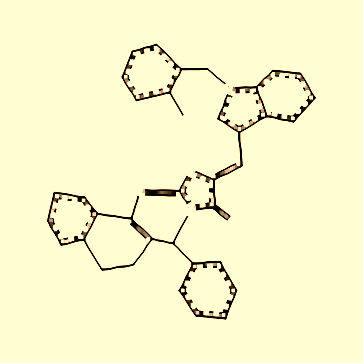 O=c1c(=Cc2cn(Cc3ccccc3F)c3ccccc23)sc2n1C(c1ccccc1)C1=C(N=2)c2ccccc2CC1